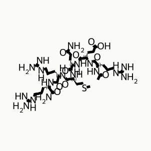 CSCC[C@H](NC(=O)[C@H](CCC(N)=O)NC(=O)[C@H](CCC(=O)O)NC(=O)[C@H](CCCNC(=N)N)NC(C)=O)C(=O)N[C@@H](CCCNC(=N)N)C(=O)N[C@@H](CCCNC(=N)N)C(N)=O